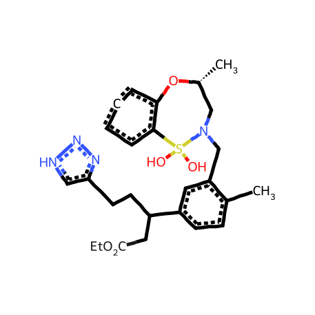 CCOC(=O)CC(CCc1c[nH]nn1)c1ccc(C)c(CN2C[C@@H](C)Oc3ccccc3S2(O)O)c1